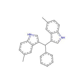 Cc1ccc2[nH]cc(C(c3ccccc3)c3c[nH]c4ccc(C)cc34)c2c1